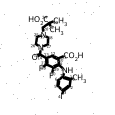 Cc1cc(I)ccc1Nc1c(C(=O)O)cc(C(=O)N2CCN(CC(C)(C)C(=O)O)CC2)c(F)c1F